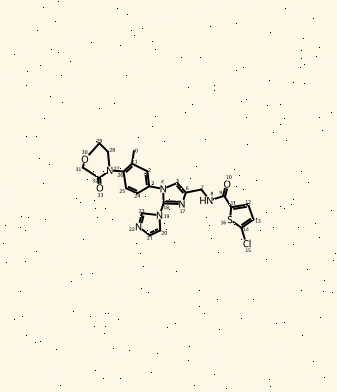 Cc1cc(-n2cc(CNC(=O)c3ccc(Cl)s3)nc2-n2ccnc2)ccc1N1CCOCC1=O